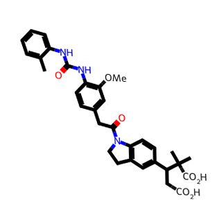 COc1cc(CC(=O)N2CCc3cc(C(CC(=O)O)C(C)(C)C(=O)O)ccc32)ccc1NC(=O)Nc1ccccc1C